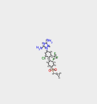 Nc1nc(N)n(-c2cc(Cl)c(-c3ccc(S(=O)(=O)CC4CC4)cc3)c(C(F)(F)F)c2)n1